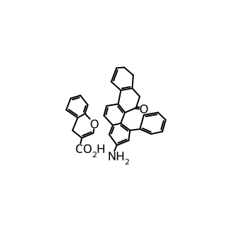 Nc1cc(-c2ccccc2)c2c3c(ccc2c1)C1=C(CCC=C1)CC3=O.O=C(O)C1=COc2ccccc2C1